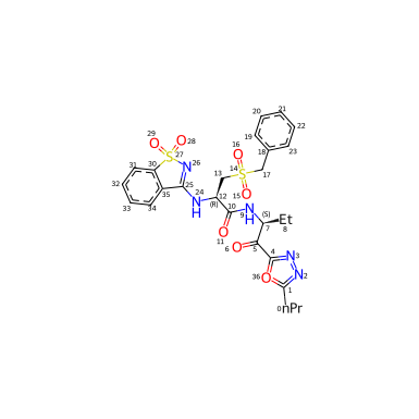 CCCc1nnc(C(=O)[C@H](CC)NC(=O)[C@H](CS(=O)(=O)Cc2ccccc2)NC2=NS(=O)(=O)c3ccccc32)o1